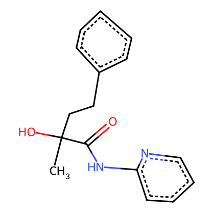 CC(O)(CCc1ccccc1)C(=O)Nc1ccccn1